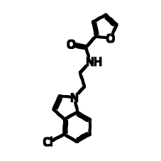 O=C(NCCn1ccc2c(Cl)cccc21)c1ccco1